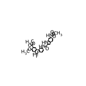 COC(=O)c1cc(-c2cccc(NC(=O)c3cc4ccc(NS(C)(=O)=O)cc4[nH]3)c2)c(C(F)(F)F)cc1OC